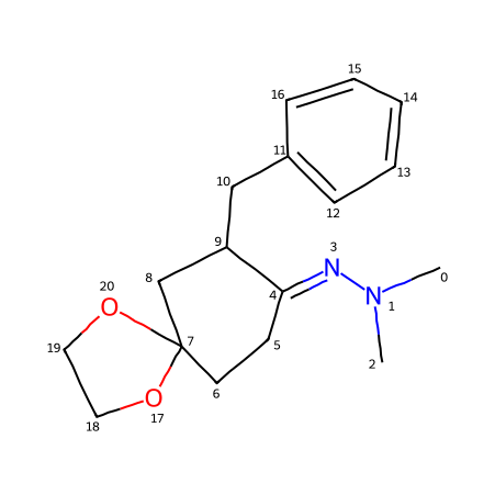 CN(C)N=C1CCC2(CC1Cc1ccccc1)OCCO2